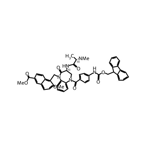 CN[C@@H](C)C(=O)N[C@H]1CN(C(=O)c2ccc(NC(=O)OCC3c4ccccc4-c4ccccc43)cc2)c2ccccc2N(Cc2c(OC)ccc3cc(C(=O)OC)ccc23)C1=O